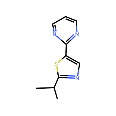 CC(C)c1ncc(-c2ncccn2)s1